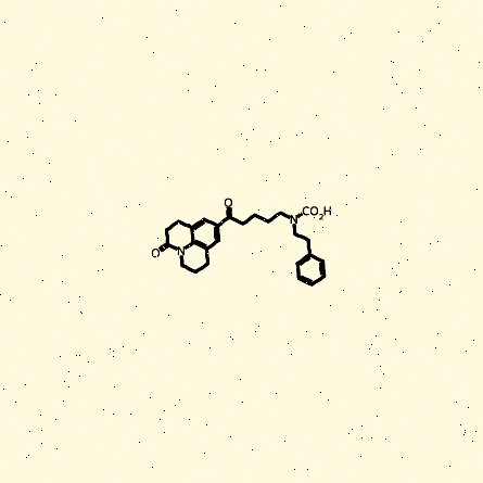 O=C(CCCCN(CCc1ccccc1)C(=O)O)c1cc2c3c(c1)CCC(=O)N3CCC2